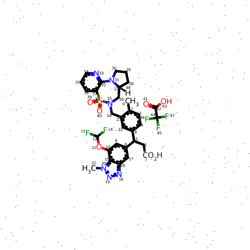 Cc1ccc(C(CC(=O)O)c2cc(OC(F)F)c3c(c2)nnn3C)cc1CN1C[C@H]2CCCN2c2ncccc2S1(=O)=O.O=C(O)C(F)(F)F